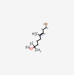 CCOC(C)(CC)CCC/C(C)=C/CCBr